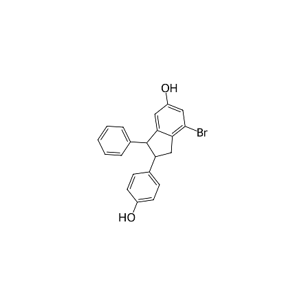 Oc1ccc(C2Cc3c(Br)cc(O)cc3C2c2ccccc2)cc1